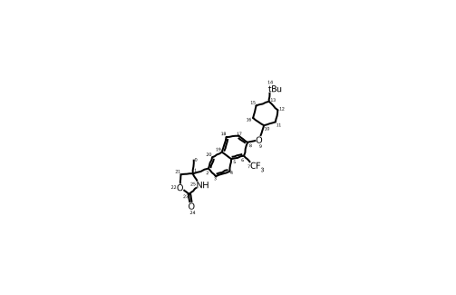 CC1(c2ccc3c(C(F)(F)F)c(OC4CCC(C(C)(C)C)CC4)ccc3c2)COC(=O)N1